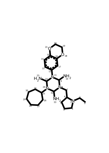 CCN1CCCC1CN1C(N)N(c2ccc3c(c2)OCCO3)C(N)N(C2CCCCCC2)C1N